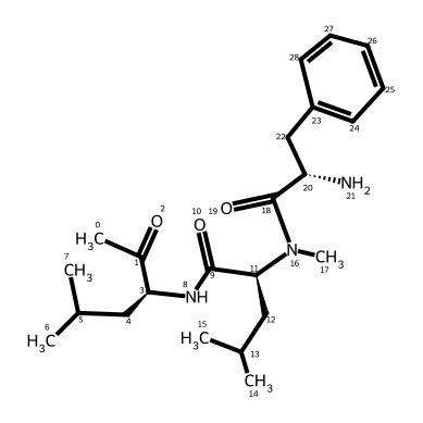 CC(=O)[C@H](CC(C)C)NC(=O)[C@H](CC(C)C)N(C)C(=O)[C@@H](N)Cc1ccccc1